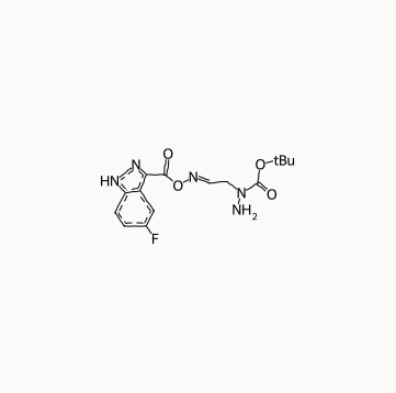 CC(C)(C)OC(=O)N(N)CC=NOC(=O)c1n[nH]c2ccc(F)cc12